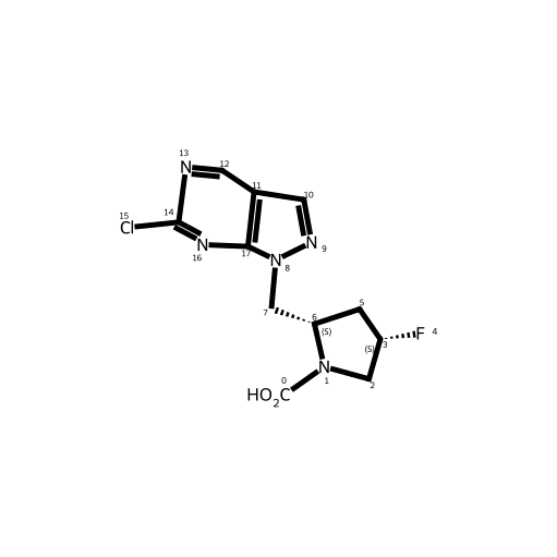 O=C(O)N1C[C@@H](F)C[C@H]1Cn1ncc2cnc(Cl)nc21